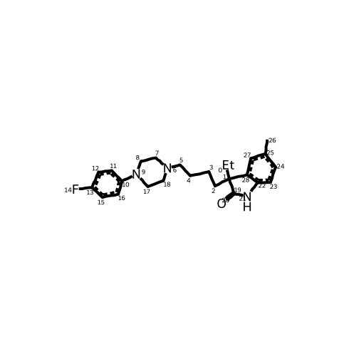 CCC1(CCCCN2CCN(c3ccc(F)cc3)CC2)C(=O)Nc2ccc(C)cc21